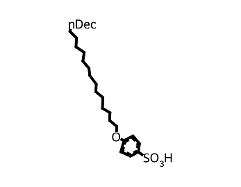 CCCCCCCCCCCCCCCCCCCCCCCCOc1ccc(S(=O)(=O)O)cc1